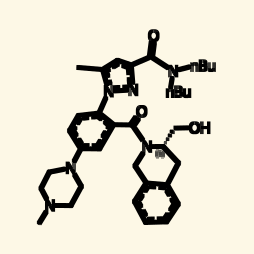 CCCCN(CCCC)C(=O)c1cc(C)n(-c2ccc(N3CCN(C)CC3)cc2C(=O)N2Cc3ccccc3C[C@H]2CO)n1